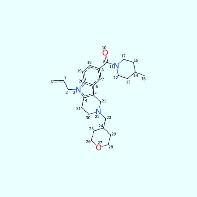 C=CCn1c2c(c3cc(C(=O)N4CCC(C)CC4)ccc31)CN(CC1CCOCC1)CC2